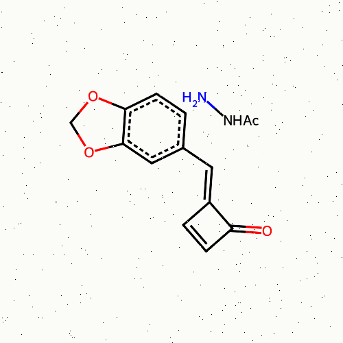 CC(=O)NN.O=C1C=CC1=Cc1ccc2c(c1)OCO2